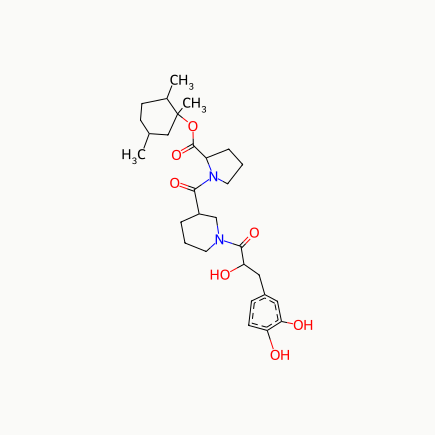 CC1CCC(C)C(C)(OC(=O)C2CCCN2C(=O)C2CCCN(C(=O)C(O)Cc3ccc(O)c(O)c3)C2)C1